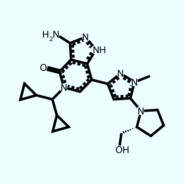 Cn1nc(-c2cn(C(C3CC3)C3CC3)c(=O)c3c(N)n[nH]c23)cc1N1CCC[C@@H]1CO